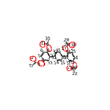 CC(=O)Oc1ccc(OC(C)=O)c(-c2ccc(-c3cc(OC(C)=O)ccc3OC(C)=O)cc2)c1